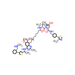 CNCc1ccccc1-c1csc([C@H](C)Nc2nc(C)nc3c(CCCCCCCCC(=O)NC(C(=O)N4C[C@H](O)C[C@H]4C(=O)NCc4ccc(-c5scnc5C)cc4)C(C)(C)C)c(OC)c(OC)cc23)c1